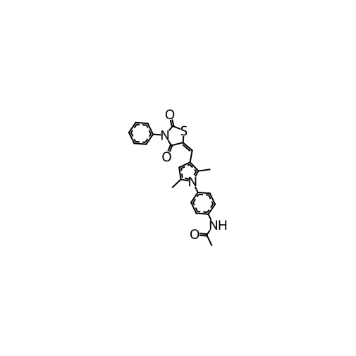 CC(=O)Nc1ccc(-n2c(C)cc(/C=C3/SC(=O)N(c4ccccc4)C3=O)c2C)cc1